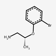 C[C@H](CN)Oc1ccccc1Br